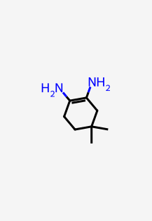 CC1(C)CCC(N)=C(N)C1